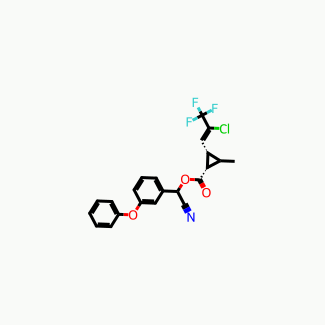 CC1[C@@H](/C=C(\Cl)C(F)(F)F)[C@H]1C(=O)OC(C#N)c1cccc(Oc2ccccc2)c1